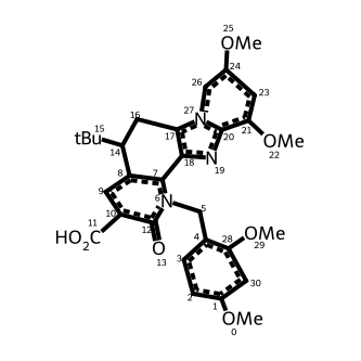 COc1ccc(Cn2c3c(cc(C(=O)O)c2=O)C(C(C)(C)C)Cc2c-3nc3c(OC)cc(OC)cn23)c(OC)c1